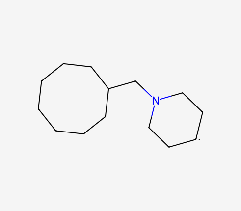 [CH]1CCN(CC2CCCCCCC2)CC1